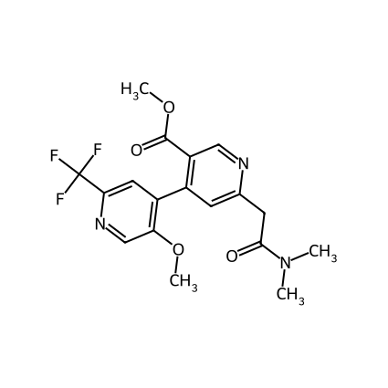 COC(=O)c1cnc(CC(=O)N(C)C)cc1-c1cc(C(F)(F)F)ncc1OC